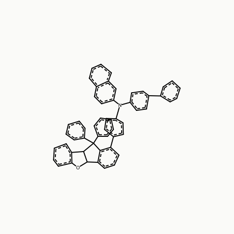 c1ccc(-c2ccc(N(c3ccc(-c4cccc5c4C(c4ccccc4)(c4ccccc4)C4c6ccccc6OC54)cc3)c3ccc4ccccc4c3)cc2)cc1